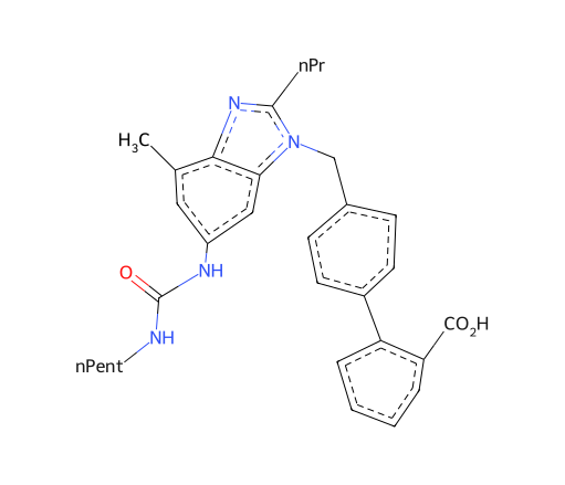 CCCCCNC(=O)Nc1cc(C)c2nc(CCC)n(Cc3ccc(-c4ccccc4C(=O)O)cc3)c2c1